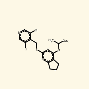 CC(=O)OC(C)Oc1nc(SCc2c(Cl)cncc2Cl)nc2c1CCC2